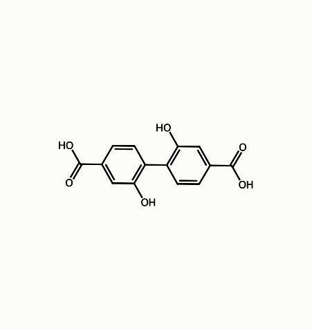 O=C(O)c1ccc(-c2ccc(C(=O)O)cc2O)c(O)c1